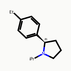 CCc1ccc([C@H]2CCCN2C(C)C)cc1